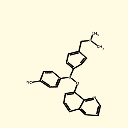 CN(C)Cc1ccc(B(Oc2cccc3cccnc23)c2ccc(C#N)cc2)cc1